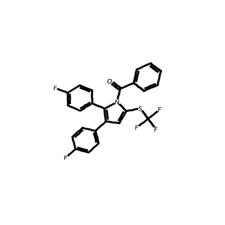 O=C(c1ccccc1)n1c(SC(F)(F)F)cc(-c2ccc(F)cc2)c1-c1ccc(F)cc1